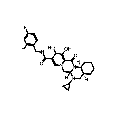 O=C(NCc1ccc(F)cc1F)C1=CN2C[C@H]3N(C4CC4)C[C@@H]4CCCC[C@@H]4N3C(=O)C2=C(O)C1O